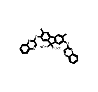 CCCCCCCCC1(CCCCCCCC)c2cc(Oc3cnc4ccccc4n3)c(C)cc2-c2cc(C)c(Oc3cnc4ccccc4n3)cc21